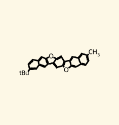 Cc1ccc2cc3oc4cc5c(cc4c3cc2c1)oc1cc2ccc(C(C)(C)C)cc2cc15